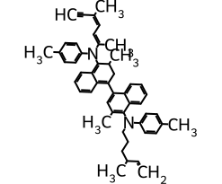 C#C/C(C)=C\C=C(/C)N(C1=c2ccccc2=C(c2cc(C)c(N(CCCC(C)C=C)c3ccc(C)cc3)c3ccccc23)CC1C)c1ccc(C)cc1